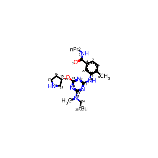 CCCNC(=O)c1ccc(C)c(Nc2nc(O[C@H]3CCNC3)nc(N(C)CC(C)(C)C)n2)c1